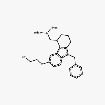 CCCCCCN(CCCCCC)CC1CCCc2c1c1cc(OCCC(C)C)ccc1n2Cc1ccccc1